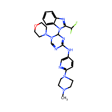 CN1CCN(c2ccc(NC3=NC(n4c(C(F)F)nc5ccccc54)N(N4CCOCC4)C=N3)cn2)CC1